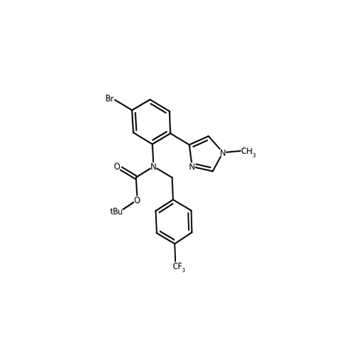 Cn1cnc(-c2ccc(Br)cc2N(Cc2ccc(C(F)(F)F)cc2)C(=O)OC(C)(C)C)c1